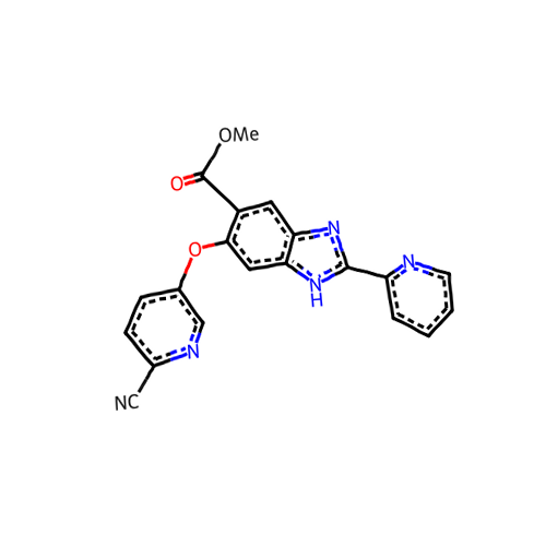 COC(=O)c1cc2nc(-c3ccccn3)[nH]c2cc1Oc1ccc(C#N)nc1